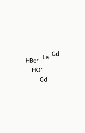 [BeH+].[Gd].[Gd].[La].[OH-]